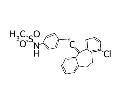 CS(=O)(=O)Nc1ccc(C=C=C2c3ccccc3CCc3c(Cl)cccc32)cc1